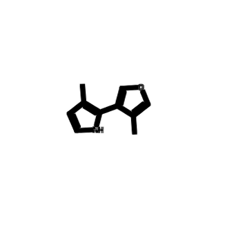 Cc1cocc1-c1[nH]ccc1C